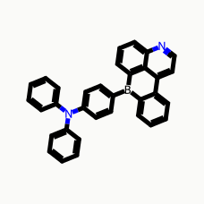 c1ccc(N(c2ccccc2)c2ccc(B3c4ccccc4-c4ccnc5cccc3c45)cc2)cc1